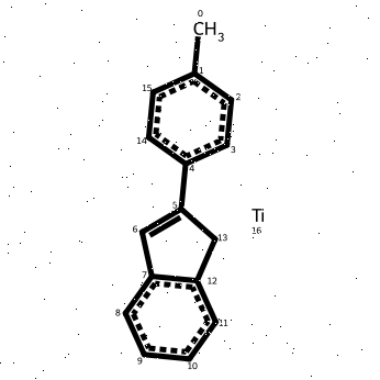 Cc1ccc(C2=Cc3ccccc3[CH]2)cc1.[Ti]